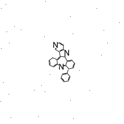 C1=CCc2c3c4cnccc4nc-3c3c(nc2=C1)C(c1ccccc1)C=CC=3